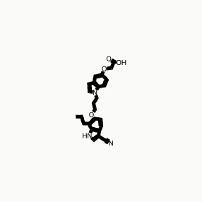 CCCc1c(OCCCn2ccc3cc(OCC(=O)O)ccc32)ccc2c(C#N)c[nH]c12